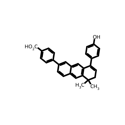 CC1(C)CC=C(c2ccc(O)cc2)c2cc3cc(-c4ccc(C(=O)O)cc4)ccc3cc21